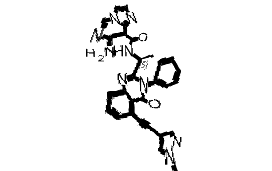 C[C@H](NC(=O)c1c(N)ncn2ccnc12)c1nc2cccc(C#Cc3cnn(C)c3)c2c(=O)n1-c1ccccc1